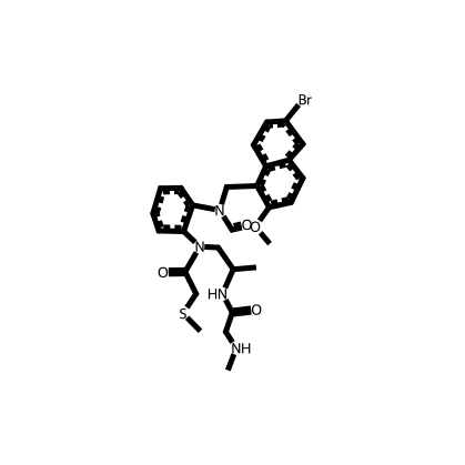 CNCC(=O)NC(C)CN(C(=O)CSC)c1ccccc1N(C=O)Cc1c(OC)ccc2cc(Br)ccc12